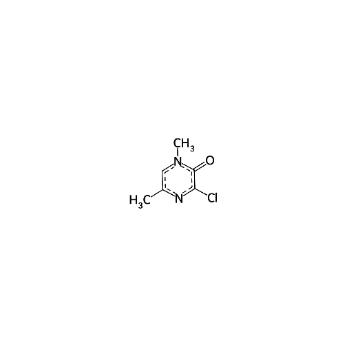 Cc1cn(C)c(=O)c(Cl)n1